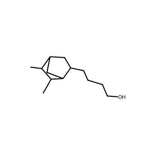 CC1C2CC(CCCCO)C(C2)C1C